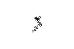 c1ccc(-c2ccc3c(c2)sc2cc(-c4ccc5c(c4)oc4cccc(-c6cccc(-c7nc(-c8ccccc8)nc(-c8ccccc8)n7)c6)c45)ccc23)cc1